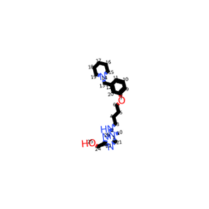 C[N+]1(NCCCCOc2cccc(CN3CCCCC3)c2)C=NC(CO)=N1